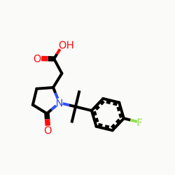 CC(C)(c1ccc(F)cc1)N1C(=O)CCC1CC(=O)O